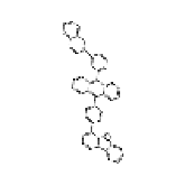 C1=CC2c3ccccc3OC2C(c2ccc(-c3c4ccccc4c(-c4cccc(-c5ccc6ccccc6c5)c4)c4ccccc34)cc2)=C1